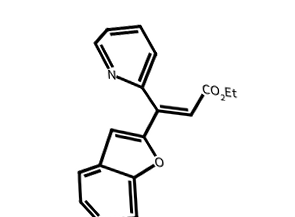 CCOC(=O)C=C(c1ccccn1)c1cc2ccccc2o1